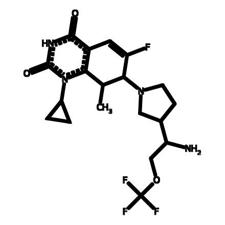 CC1c2c(c(=O)[nH]c(=O)n2C2CC2)C=C(F)C1N1CCC(C(N)COC(F)(F)F)C1